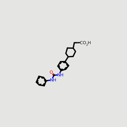 O=C(O)CC1CCC(c2ccc(NC(=O)Nc3ccccc3)cc2)CC1